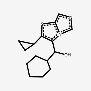 OC(c1c(C2CC2)sc2cncn12)C1CCCCC1